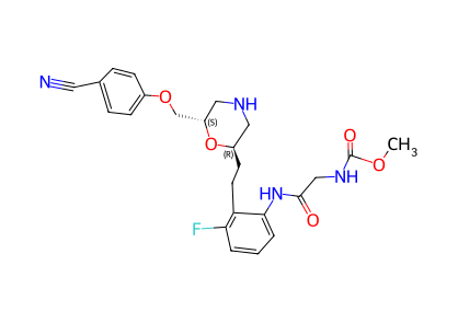 COC(=O)NCC(=O)Nc1cccc(F)c1CC[C@@H]1CNC[C@@H](COc2ccc(C#N)cc2)O1